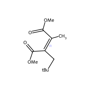 COC(=O)/C(C)=C(/CC(C)(C)C)C(=O)OC